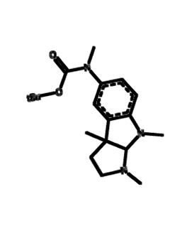 CN(C(=O)OC(C)(C)C)c1ccc2c(c1)C1(C)CCN(C)C1N2C